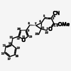 COC(=O)C(C#N)=CC1[C@@H](Cc2coc(Cc3ccccc3)c2)C1(C)C